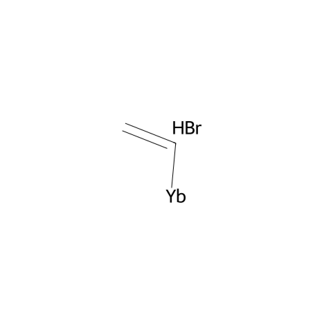 Br.C=[CH][Yb]